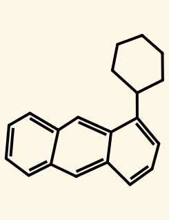 c1ccc2cc3c(C4CCCCC4)cccc3cc2c1